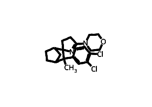 CC1(c2ccc(Cl)c(Cl)c2)C2CCC(C2)C12CCC(N1CCOCC1)=N2